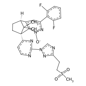 CC1(C)[C@H]2CC[C@]1(c1ccnc(-n3cnc(CCS(C)(=O)=O)n3)n1)c1c2cc(-c2c(F)cccc2F)n[n+]1[O-]